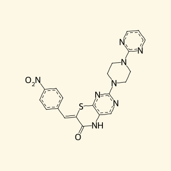 O=C1Nc2cnc(N3CCN(c4ncccn4)CC3)nc2S/C1=C\c1ccc([N+](=O)[O-])cc1